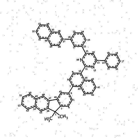 CC1(C)c2ccc(-c3ccc(-c4nc(-c5ccccc5)cc(-c5cccc(-c6ccc7ccccc7c6)c5)n4)c4ccccc34)cc2-c2cc3ccccc3cc21